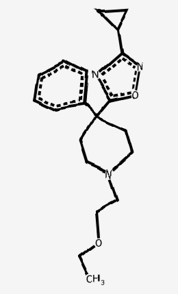 CCOCCN1CCC(c2ccccc2)(c2nc(C3CC3)no2)CC1